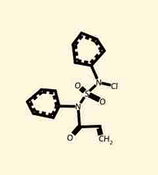 C=CC(=O)N(c1ccccc1)S(=O)(=O)N(Cl)c1ccccc1